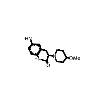 COC1CCN(C2Cc3cc([NH])ccc3NC2=O)CC1